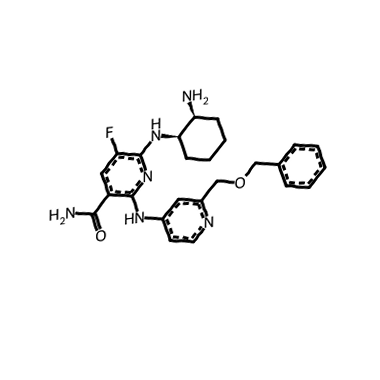 NC(=O)c1cc(F)c(N[C@@H]2CCCC[C@@H]2N)nc1Nc1ccnc(COCc2ccccc2)c1